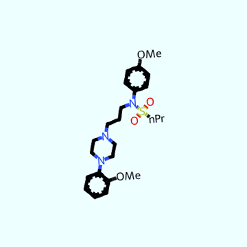 CCCS(=O)(=O)N(CCCN1CCN(c2ccccc2OC)CC1)c1ccc(OC)cc1